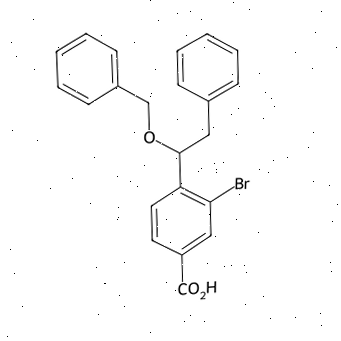 O=C(O)c1ccc(C(Cc2ccccc2)OCc2ccccc2)c(Br)c1